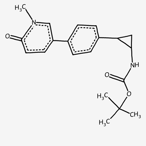 Cn1cc(-c2ccc(C3CC3NC(=O)OC(C)(C)C)cc2)ccc1=O